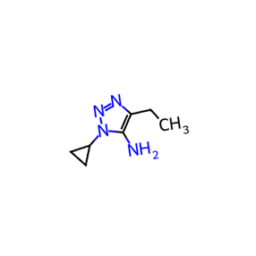 CCc1nnn(C2CC2)c1N